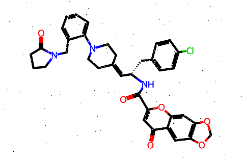 O=C(N[C@H](C=C1CCN(c2ccccc2CN2CCCC2=O)CC1)Cc1ccc(Cl)cc1)c1cc(=O)c2cc3c(cc2o1)OCO3